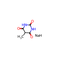 CC1C(=O)NC(=O)NC1=O.[NaH]